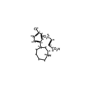 Clc1ccc(N2CCCCNCC2)nn1.O=C(O)/C=C/C(=O)O